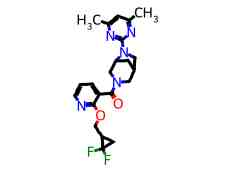 Cc1cc(C)nc(N2CC3CC2CN(C(=O)c2cccnc2OCC2CC2(F)F)C3)n1